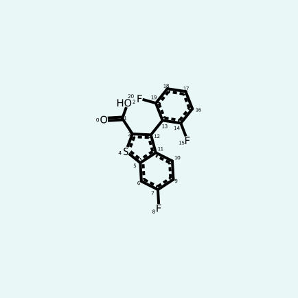 O=C(O)c1sc2cc(F)ccc2c1-c1c(F)cccc1F